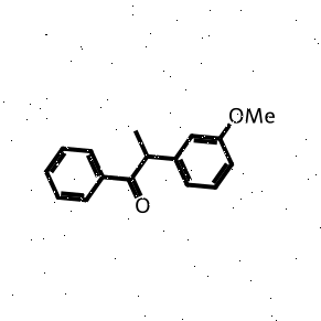 COc1cccc(C(C)C(=O)c2ccccc2)c1